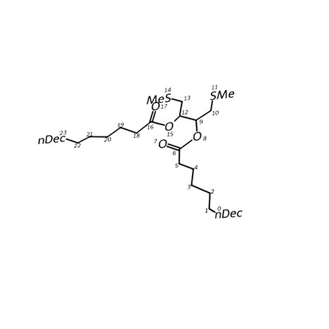 CCCCCCCCCCCCCCCC(=O)OC(CSC)C(CSC)OC(=O)CCCCCCCCCCCCCCC